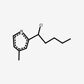 CCCCC(Cl)c1cc(C)ccn1